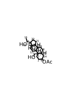 CC(=O)O[C@H]1CC[C@@]2(CO)[C@@H](CC[C@@H]3[C@@H]2CC[C@]2(C)[C@@H](C(C)O)CC[C@]32O)C1